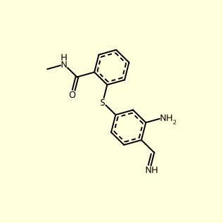 CNC(=O)c1ccccc1Sc1ccc(C=N)c(N)c1